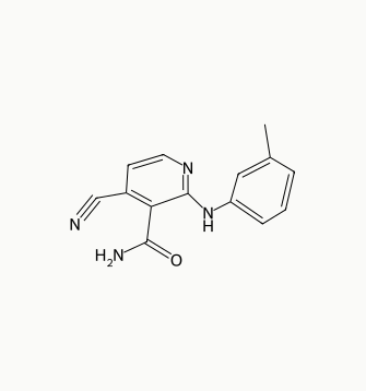 Cc1cccc(Nc2nccc(C#N)c2C(N)=O)c1